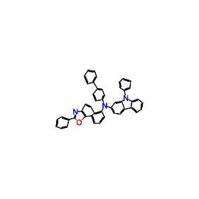 c1ccc(-c2ccc(N(c3ccc4c5ccccc5n(-c5ccccc5)c4c3)c3cccc4c3ccc3nc(-c5ccccc5)oc34)cc2)cc1